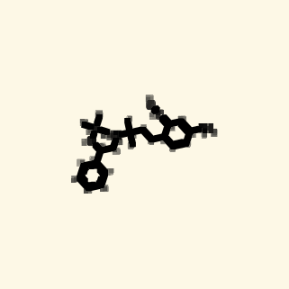 CC(C)(CCC1C=CC(N)=CC1=C=O)NCC(O[Si](C)(C)C)c1ccccc1